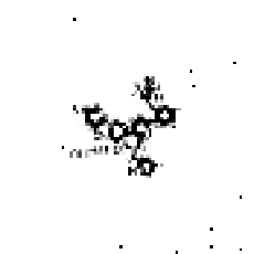 O=CO.[2H]C([2H])([2H])C([2H])([2H])Oc1ccccc1-c1ccc2c(n1)CN(C[C@H]1CCCN1)C[C@]21CCN(c2ncc(Cl)cc2C#N)C[C@H]1CC